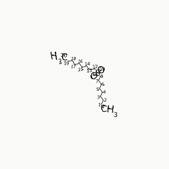 CCCCCCCCCS(=O)(=O)CCCCCCCCC